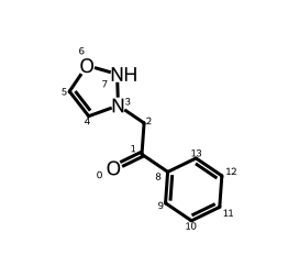 O=C(CN1C=CON1)c1ccccc1